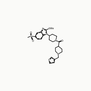 CSc1nc2cc(S(C)(=O)=O)ccc2n1C1CCN(C(=O)C2CCN(Cc3ccsc3)CC2)CC1